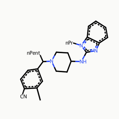 CCCCCC(c1ccc(C#N)c(C)c1)N1CCC(Nc2nc3ccccc3n2CCC)CC1